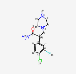 CN1CCN(C[C@H](C(N)=O)c2ccc(Cl)c(F)c2)CC1